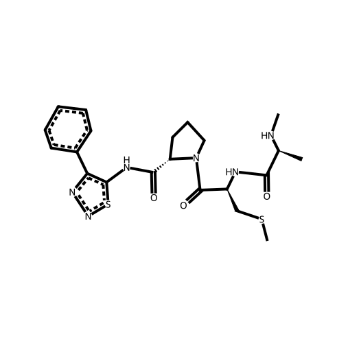 CN[C@@H](C)C(=O)N[C@@H](CSC)C(=O)N1CCC[C@H]1C(=O)Nc1snnc1-c1ccccc1